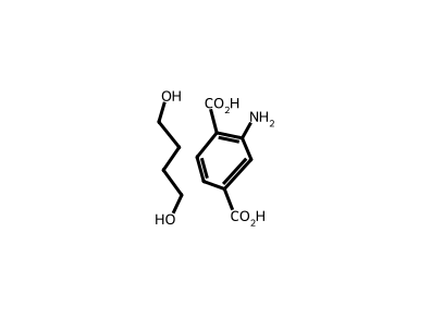 Nc1cc(C(=O)O)ccc1C(=O)O.OCCCCO